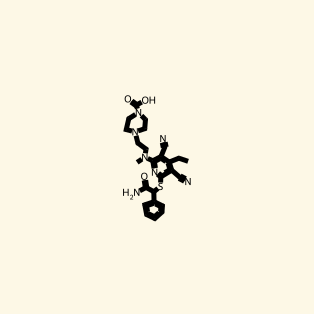 CCc1c(C#N)c(SC(C(N)=O)c2ccccc2)nc(N(C)CCN2CCN(C(=O)O)CC2)c1C#N